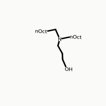 CCCCCCCCCN(CCCO)CCCCCCCC